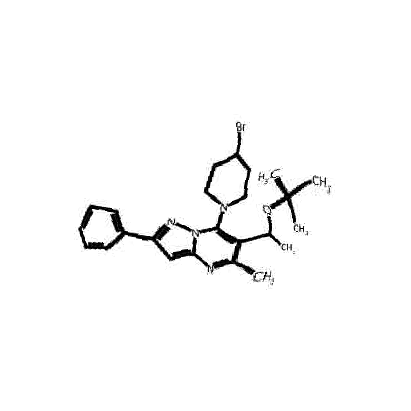 Cc1nc2cc(-c3ccccc3)nn2c(N2CCC(Br)CC2)c1C(C)OC(C)(C)C